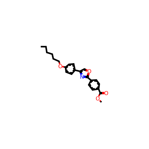 CCCCCCOc1ccc(-c2coc(-c3ccc(C(=O)OC)cc3)n2)cc1